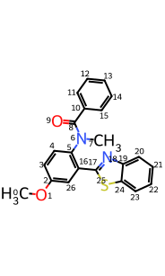 COc1ccc(N(C)C(=O)c2ccccc2)c(-c2nc3ccccc3s2)c1